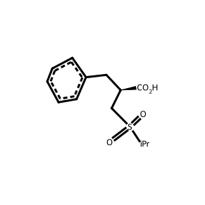 CC(C)S(=O)(=O)C[C@@H](Cc1ccccc1)C(=O)O